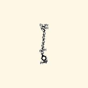 CCC(=O)[C@@H](NC(=O)CCOCCOCCOCCOCCNC(=O)OCC1C2CCc3nnn(C(C)C)c3CCC21)C(C)C